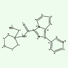 O=C(NC1(CO)CCOCC1)c1nc(-c2cccnc2)c2ccccn12